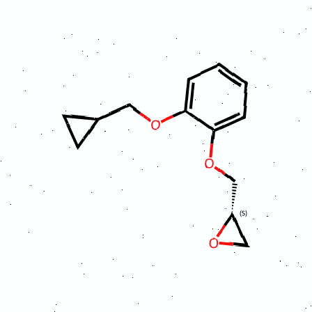 c1ccc(OC[C@@H]2CO2)c(OCC2CC2)c1